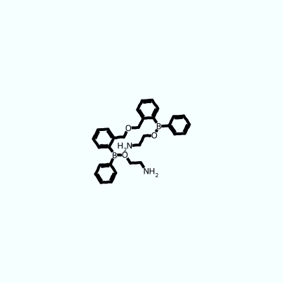 NCCOB(c1ccccc1)c1ccccc1COCc1ccccc1B(OCCN)c1ccccc1